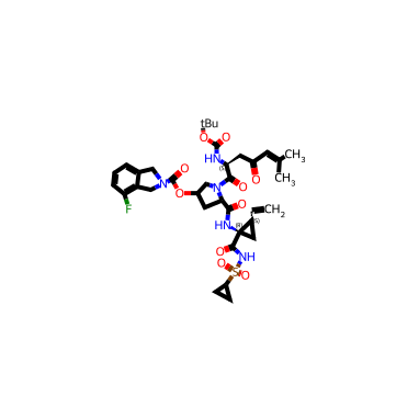 C=C[C@@H]1C[C@]1(NC(=O)C1CC(OC(=O)N2Cc3cccc(F)c3C2)CN1C(=O)[C@H](CC(=O)C=C(C)C)NC(=O)OC(C)(C)C)C(=O)NS(=O)(=O)C1CC1